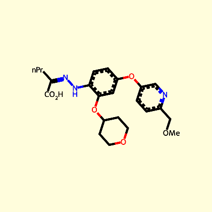 CCCC(=NNc1ccc(Oc2ccc(COC)nc2)cc1OC1CCOCC1)C(=O)O